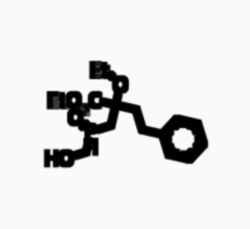 CCOC(=O)C(CCc1ccccc1)(C[PH](=O)CO)OCC